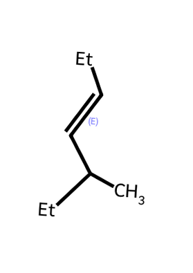 [CH2]C/C=C/C(C)C[CH2]